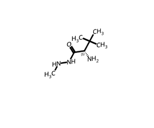 CNNC(=O)[C@@H](N)C(C)(C)C